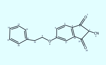 N#CC1C(=O)c2ccc(OCCc3ccccc3)cc2C1=O